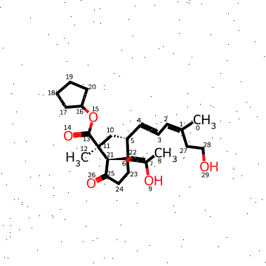 CC(=C/C=C/[C@H](/C=C(\C)O)C[C@](C)(C(=O)OC1CCCC1)[C@H]1CCCC1=O)CCO